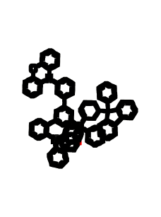 C1=CC(C2(c3ccccc3)c3ccccc3-c3ccccc32)CC([Si](c2ccccc2)(c2ccccc2)c2cc(-c3cccc(N4c5ccccc5Oc5ccccc54)c3)cc(-c3ccccc3-n3c4ccccc4c4ccccc43)c2)=C1